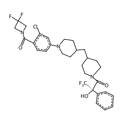 O=C(c1ccc(N2CCC(CC3CCN(C(=O)[C@](O)(c4ccccc4)C(F)(F)F)CC3)CC2)cc1Cl)N1CC(F)(F)C1